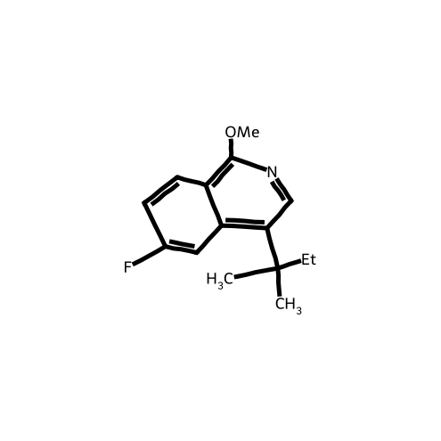 CCC(C)(C)c1cnc(OC)c2ccc(F)cc12